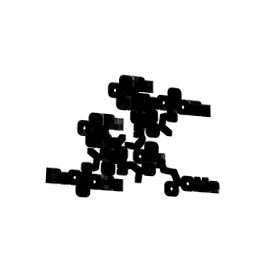 COC(=O)CCSP(=O)(OC(C)CSP(=O)(OC(C)CSP(=O)(OCC(C)C)OCC(C)C)OC(C)CSP(=O)(OCC(C)C)OCC(C)C)OC(C)CSP(=O)(OC(C)CSP(=O)(OCC(C)C)OCC(C)C)OC(C)CSP(=O)(OCC(C)C)OCC(C)C